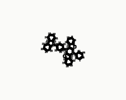 c1ccc(B2c3oc4ccccc4c3B(c3ccc(-n4c5ccccc5c5ccccc54)cc3)c3oc4ccccc4c32)cc1